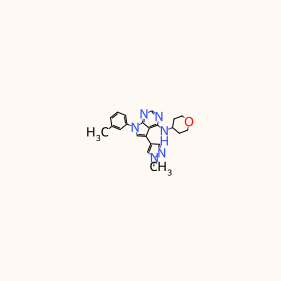 Cc1cccc(-n2cc(-c3cnn(C)c3)c3c(NC4CCOCC4)ncnc32)c1